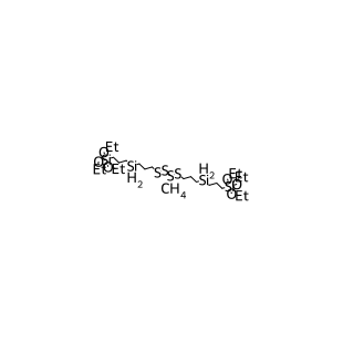 C.CCO[Si](CCC[SiH2]CCCSSSSCCC[SiH2]CCC[Si](OCC)(OCC)OCC)(OCC)OCC